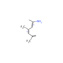 C=C(/C=C(\C=C(/C)N)C(F)(F)F)C(F)(F)F